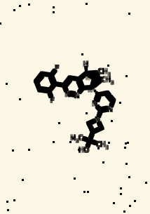 CC(C)(O)C1CN(c2nccc([C@]34CC[C@@H](c5cc(-c6c(F)cccc6F)nnc53)C4(C)C)n2)C1